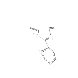 C=C/N=C(\NC=C)c1ccccn1